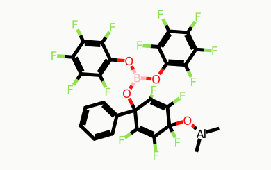 [CH3][Al]([CH3])[O]C1(F)C(F)=C(F)C(OB(Oc2c(F)c(F)c(F)c(F)c2F)Oc2c(F)c(F)c(F)c(F)c2F)(c2ccccc2)C(F)=C1F